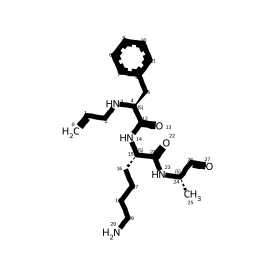 C=CCN[C@@H](Cc1ccccc1)C(=O)N[C@@H](CCCCN)C(=O)N[C@@H](C)[C]=O